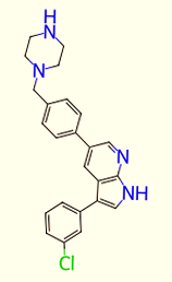 Clc1cccc(-c2c[nH]c3ncc(-c4ccc(CN5CCNCC5)cc4)cc23)c1